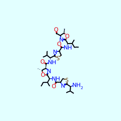 CCC(C)[C@H](NC(=O)C1CSC([C@H](NC(=O)[C@H]2N=C([C@@H](NC(=O)C3CSC([C@@H](N)C(C)C)=N3)C(C)CC)O[C@@H]2C)C(C)C)=N1)C1=NC(C=O)[C@@H](C)O1